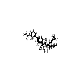 C=CC(=O)N1CCC=C(c2ccc(C(CC)C(=O)Nc3cc(C4CC4)[nH]n3)cn2)C1